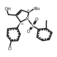 Cc1ccccc1S(=O)(=O)N1[C@@H](c2ccc(Cl)cc2)C(CO)=C[C@H]1C(C)(C)C